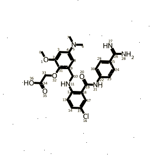 COc1cc(N(C)C)cc(CNc2ccc(Cl)cc2C(=O)Nc2ccc(C(=N)N)cc2)c1OCC(=O)O